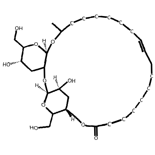 CC1CCCCCC/C=C/CCCCCCCC(=O)O[C@H]2C[C@H](O)[C@H](OC3C[C@H](O)C(CO)O[C@H]3O1)OC2CO